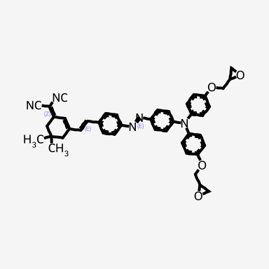 [C-]#[N+]/C(C#N)=C1C=C(/C=C/c2ccc(/N=N/c3ccc(N(c4ccc(OCC5CO5)cc4)c4ccc(OCC5CO5)cc4)cc3)cc2)CC(C)(C)C\1